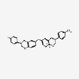 Cc1ccc(N2COc3ccc(CC4=CC[C@@]5(C)OCN(c6ccc(C(F)(F)F)cc6)CC5=C4)cc3C2)cc1